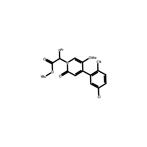 CCCC(C(=O)OC(C)(C)C)n1cc(OC)c(-c2cc(Cl)ccc2C#N)cc1=O